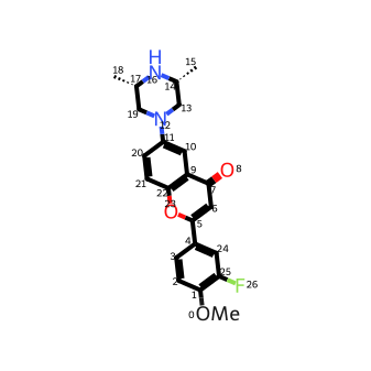 COc1ccc(-c2cc(=O)c3cc(N4C[C@@H](C)N[C@@H](C)C4)ccc3o2)cc1F